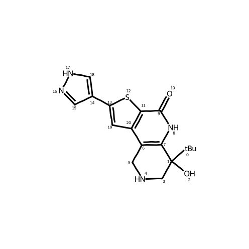 CC(C)(C)C1(O)CNCc2c1[nH]c(=O)c1sc(-c3cn[nH]c3)cc21